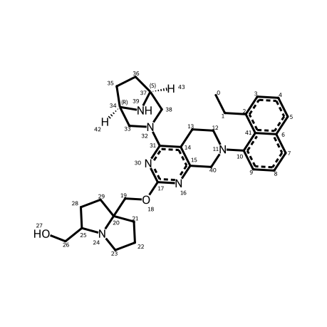 CCc1cccc2cccc(N3CCc4c(nc(OCC56CCCN5C(CO)CC6)nc4N4C[C@H]5CC[C@@H](C4)N5)C3)c12